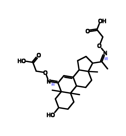 C/C(=N/OCC(=O)O)C1CCC2C3=C/C(=N\OCC(=O)O)C4(C)CC(O)CCC4(C)C3CCC21C